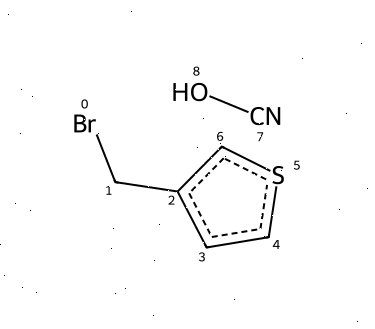 BrCc1ccsc1.N#CO